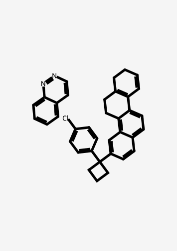 Clc1ccc(C2(c3ccc4ccc5c(c4c3)CCC3=C5C=CCC3)CCC2)cc1.c1ccc2nnccc2c1